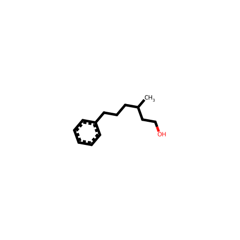 CC(CCO)CCCc1ccccc1